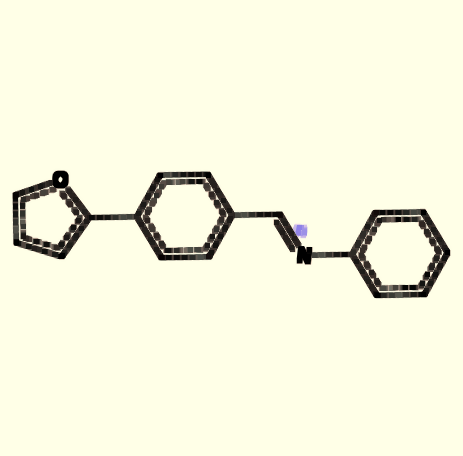 C(=N\c1ccccc1)/c1ccc(-c2ccco2)cc1